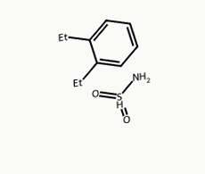 CCc1ccccc1CC.N[SH](=O)=O